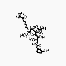 CCCNC(=O)CCCCCCO[C@]1(C(=O)O)C[C@H](O)[C@@H](NC(=O)CO)[C@H]([C@H](O)[C@H](O)CNC(=O)Cc2cccc(O)c2)O1